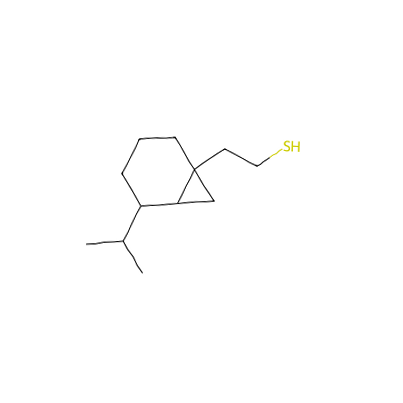 CC(C)C1CCCC2(CCS)CC12